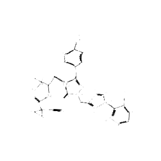 N#CC1(C(=O)NC(Cn2c(-c3ccc(Cl)cc3)nn(Cc3ncn(-c4ncccc4Cl)n3)c2=O)C(F)(F)F)CC1